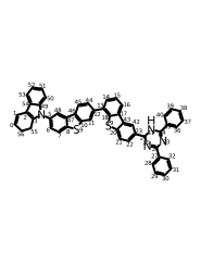 C1=Cc2c(n(-c3ccc4sc5cc(-c6cccc7c6sc6ccc(C8N=C(c9ccccc9)N=C(c9ccccc9)N8)cc67)ccc5c4c3)c3ccccc23)CC1